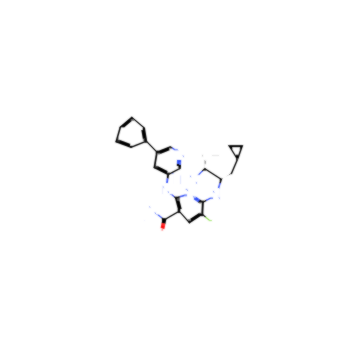 C[C@H](N)[C@@H](CC1CC1)Nc1nc(Nc2cncc(-c3ccccc3)c2)c(C(N)=O)cc1F